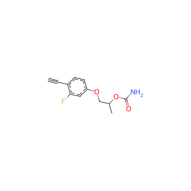 C#Cc1ccc(OCC(C)OC(N)=O)cc1F